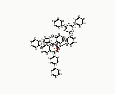 c1ccc(-c2ccc(N3c4ccc(-c5ccccc5)cc4C4(c5ccccc5Oc5ccccc54)c4cc(-c5cccc(-c6nc(-c7ccccc7)nc(-c7ccccc7)n6)c5)ccc43)cc2)cc1